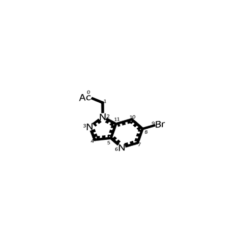 CC(=O)Cn1ncc2ncc(Br)cc21